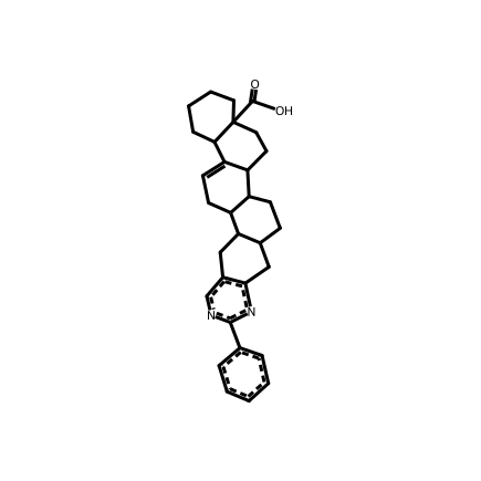 O=C(O)C12CCCCC1C1=CCC3C4Cc5cnc(-c6ccccc6)nc5CC4CCC3C1CC2